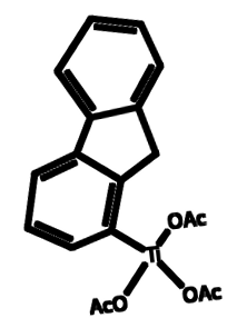 CC(=O)[O][Ti]([O]C(C)=O)([O]C(C)=O)[c]1cccc2c1Cc1ccccc1-2